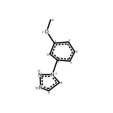 COc1cccc(-n2ccnn2)c1